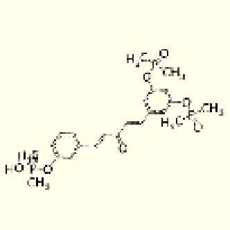 CP(C)(=O)Oc1cc(/C=C/C(=O)/C=C/c2cccc(O[PH](C)(C)O)c2)cc(OP(C)(C)=O)c1